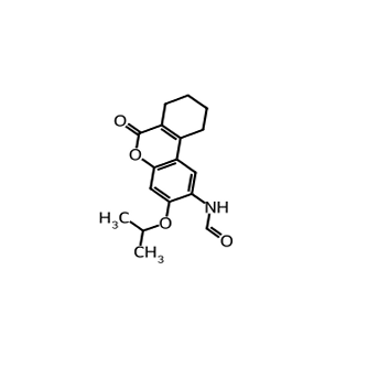 CC(C)Oc1cc2oc(=O)c3c(c2cc1NC=O)CCCC3